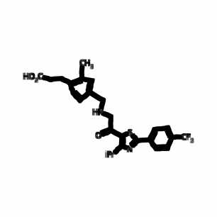 Cc1cc(CNCC(=O)c2sc(-c3ccc(C(F)(F)F)cc3)nc2C(C)C)ccc1CCC(=O)O